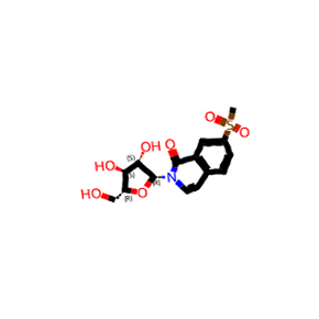 CS(=O)(=O)c1ccc2ccn([C@@H]3O[C@H](CO)[C@@H](O)[C@@H]3O)c(=O)c2c1